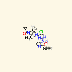 CNC(=O)c1ncccc1Nc1ncc(Cl)c(N2C[C@]3(C)CN(C(=O)C4CC4)C[C@]3(C)C2)n1